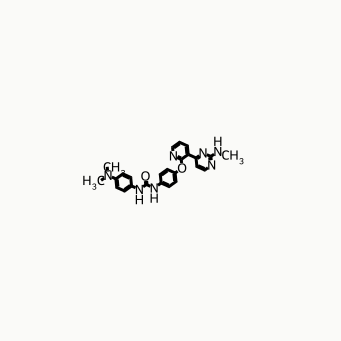 CNc1nccc(-c2cccnc2Oc2ccc(NC(=O)Nc3ccc(N(C)C)cc3)cc2)n1